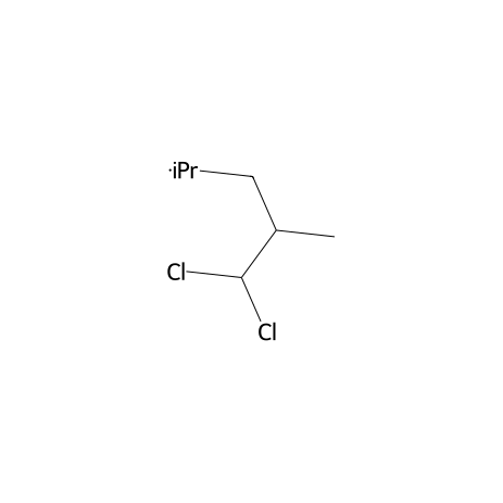 C[C](C)CC(C)C(Cl)Cl